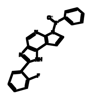 [O-][S+](c1ccccc1)n1ccc2c3[nH]c(-c4ccccc4F)nc3cnc21